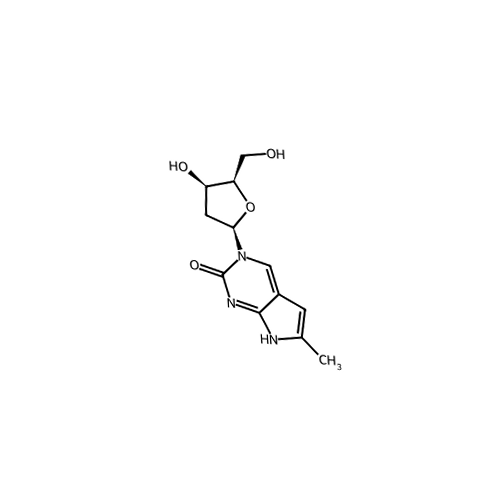 Cc1cc2cn([C@H]3C[C@@H](O)[C@@H](CO)O3)c(=O)nc2[nH]1